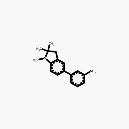 CN1c2ccc(-c3cccc([N+](=O)[O-])c3)cc2CC1(C)C